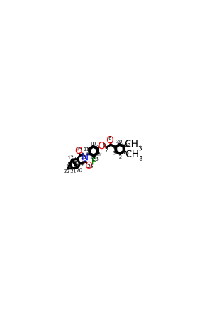 Cc1ccc(C(=O)COc2ccc(N3C(=O)C4C5C=CC(C6CC56)C4C3=O)c(F)c2)cc1C